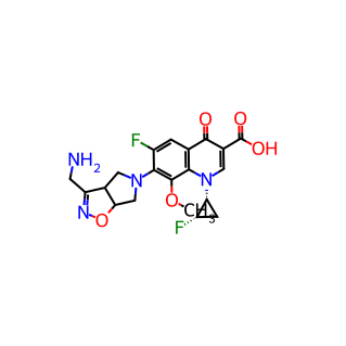 COc1c(N2CC3ON=C(CN)C3C2)c(F)cc2c(=O)c(C(=O)O)cn([C@@H]3C[C@@H]3F)c12